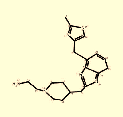 Cc1nc(CC2=C3N=C(CC4CCN(CCN)CC4)N=C3CC=C2)cs1